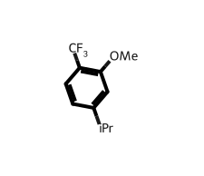 COc1cc(C(C)C)ccc1C(F)(F)F